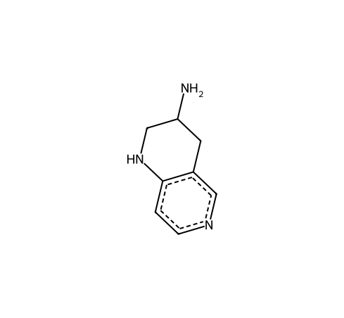 NC1CNc2ccncc2C1